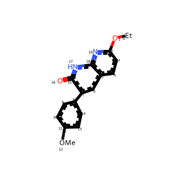 CCOc1ccc2cc(-c3ccc(OC)cc3)c(=O)[nH]c2n1